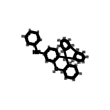 c1ccc(Nc2ccc3c(c2)Oc2ccccc2C32c3ccccc3-c3ccccc32)cc1